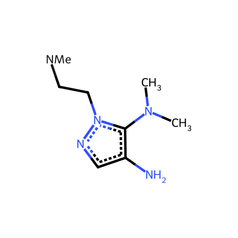 CNCCn1ncc(N)c1N(C)C